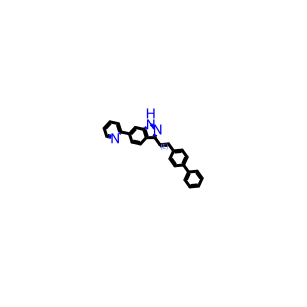 C(=C\c1n[nH]c2cc(-c3ccccn3)ccc12)/c1ccc(-c2ccccc2)cc1